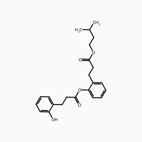 CC(C)CCOC(=O)CCc1ccccc1OC(=O)CCc1ccccc1O